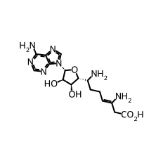 N/C(=C\CCC(N)[C@H]1O[C@@H](n2cnc3c(N)ncnc32)[C@H](O)[C@@H]1O)CC(=O)O